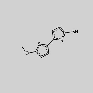 COc1ccc(-c2ccc(S)s2)s1